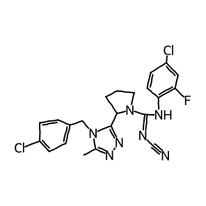 Cc1nnc(C2CCCN2/C(=N/C#N)Nc2ccc(Cl)cc2F)n1Cc1ccc(Cl)cc1